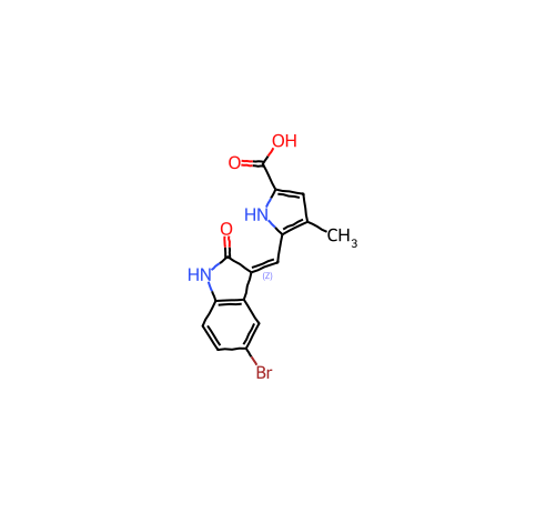 Cc1cc(C(=O)O)[nH]c1/C=C1\C(=O)Nc2ccc(Br)cc21